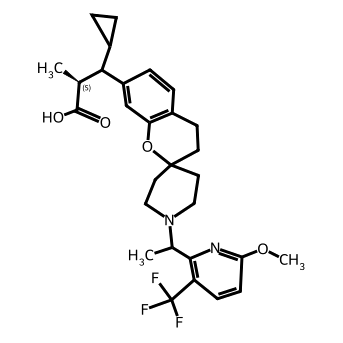 COc1ccc(C(F)(F)F)c(C(C)N2CCC3(CCc4ccc(C(C5CC5)[C@H](C)C(=O)O)cc4O3)CC2)n1